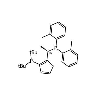 Cc1ccccc1P(c1ccccc1C)[C@H](C)C1=C(P(C(C)(C)C)C(C)(C)C)C=CC1